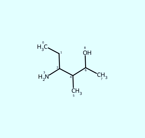 CCC(N)C(C)C(C)O